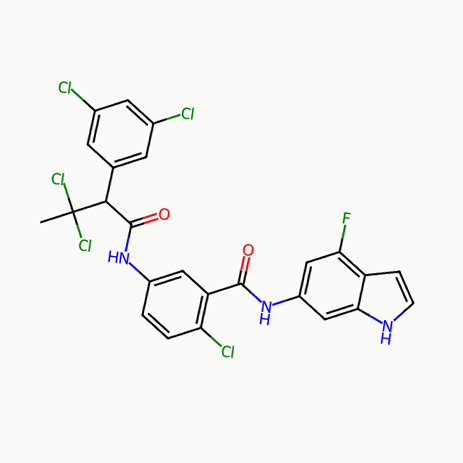 CC(Cl)(Cl)C(C(=O)Nc1ccc(Cl)c(C(=O)Nc2cc(F)c3cc[nH]c3c2)c1)c1cc(Cl)cc(Cl)c1